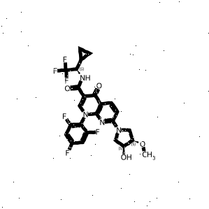 CO[C@H]1CN(c2ccc3c(=O)c(C(=O)N[C@@H](C4CC4)C(F)(F)F)cn(-c4c(F)cc(F)cc4F)c3n2)C[C@@H]1O